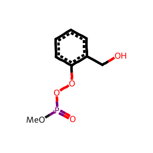 CO[P](=O)OOc1ccccc1CO